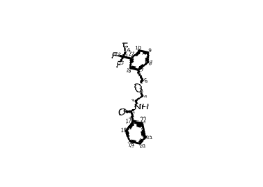 O=C(NCCOCc1cccc(C(F)(F)F)c1)c1ccccc1